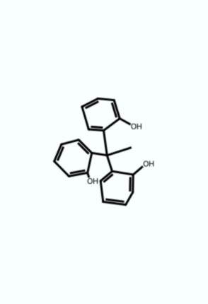 CC(c1ccccc1O)(c1ccccc1O)c1ccccc1O